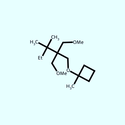 CCC(C)(C)C(COC)(COC)COC1(C)CCC1